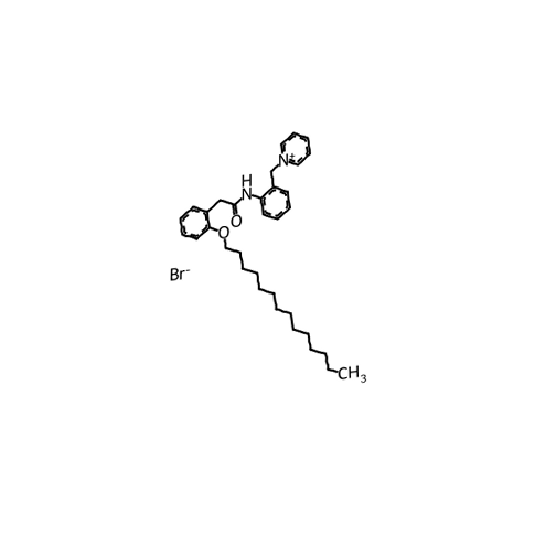 CCCCCCCCCCCCCCOc1ccccc1CC(=O)Nc1ccccc1C[n+]1ccccc1.[Br-]